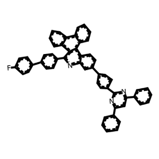 Fc1ccc(-c2ccc(-c3nc4cc(-c5ccc(-c6nc(-c7ccccc7)cc(-c7ccccc7)n6)cc5)ccc4c4c5ccccc5c5ccccc5c34)cc2)cc1